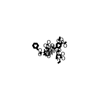 CCN1CCN(C(=O)NC(C(=O)N[C@]2(NC=O)C(=O)N3[C@@H](C(=O)OCc4ccccc4)C(C)(C)S(=O)(=O)[C@@H]32)c2ccc(OC(C)=O)c(OC(C)=O)c2)C(=O)C1=O